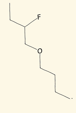 [CH2]CCCOCC(F)CC